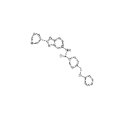 O=C(Nc1ccc2oc(-c3cccnc3)nc2c1)c1ccc(COc2ccccc2)cc1